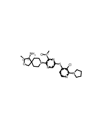 C[C@@H]1OCC2(CCN(c3ncc(Sc4ccnc(N5CCCC5)c4Cl)nc3[S+](C)[O-])CC2)[C@@H]1N